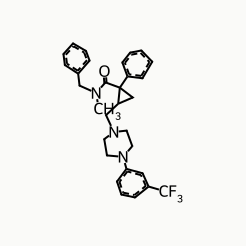 CN(Cc1ccccc1)C(=O)C1(c2ccccc2)CC1CN1CCN(c2cccc(C(F)(F)F)c2)CC1